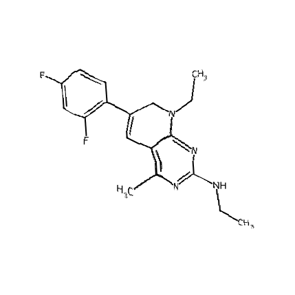 CCNc1nc(C)c2c(n1)N(CC)CC(c1ccc(F)cc1F)=C2